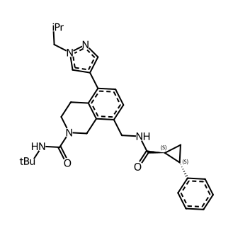 CC(C)Cn1cc(-c2ccc(CNC(=O)[C@H]3C[C@@H]3c3ccccc3)c3c2CCN(C(=O)NC(C)(C)C)C3)cn1